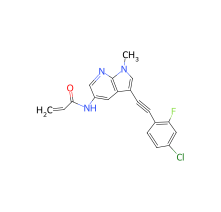 C=CC(=O)Nc1cnc2c(c1)c(C#Cc1ccc(Cl)cc1F)cn2C